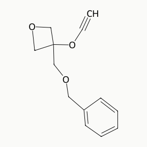 C#COC1(COCc2ccccc2)COC1